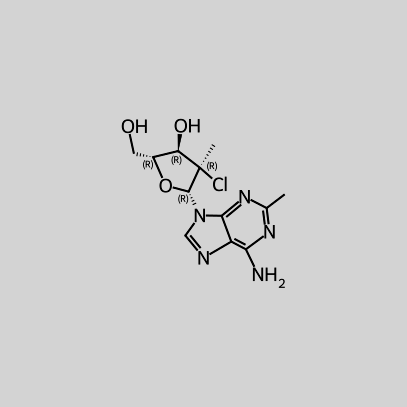 Cc1nc(N)c2ncn([C@@H]3O[C@H](CO)[C@@H](O)[C@@]3(C)Cl)c2n1